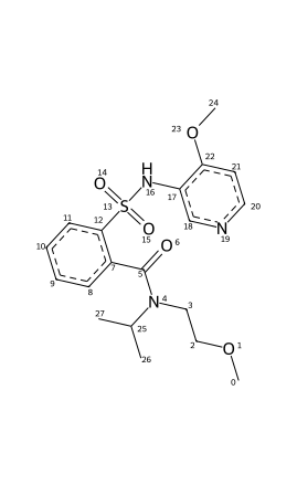 COCCN(C(=O)c1ccccc1S(=O)(=O)Nc1cnccc1OC)C(C)C